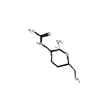 CCC1CCC(NC(C)=O)[C@H](C)O1